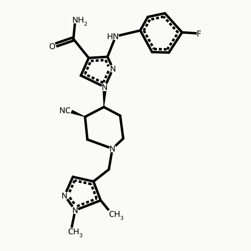 Cc1c(CN2CC[C@H](n3cc(C(N)=O)c(Nc4ccc(F)cc4)n3)[C@H](C#N)C2)cnn1C